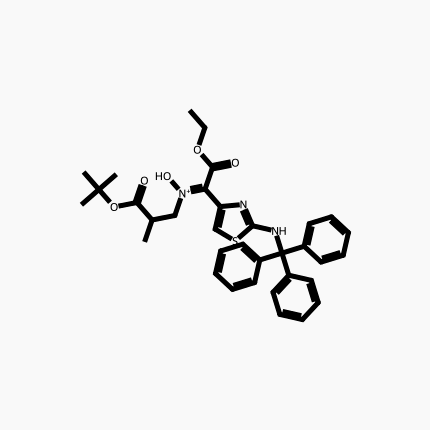 CCOC(=O)/C(c1csc(NC(c2ccccc2)(c2ccccc2)c2ccccc2)n1)=[N+](\O)CC(C)C(=O)OC(C)(C)C